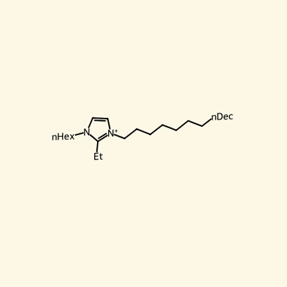 CCCCCCCCCCCCCCCCC[n+]1ccn(CCCCCC)c1CC